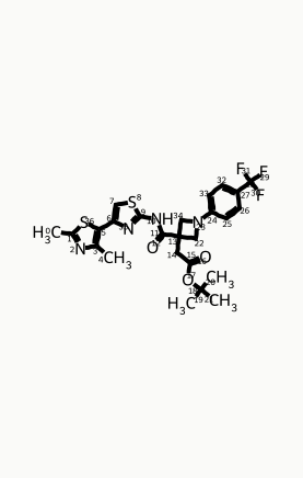 Cc1nc(C)c(-c2csc(NC(=O)C3(CC(=O)OC(C)(C)C)CN(c4ccc(C(F)(F)F)cc4)C3)n2)s1